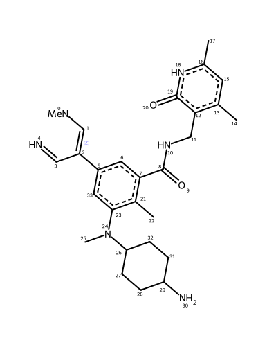 CN/C=C(\C=N)c1cc(C(=O)NCc2c(C)cc(C)[nH]c2=O)c(C)c(N(C)C2CCC(N)CC2)c1